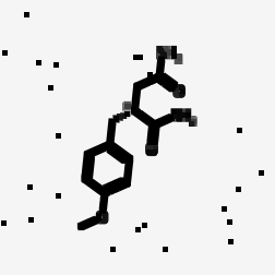 COc1ccc(C[C@H](CC(N)=O)C(N)=O)cc1